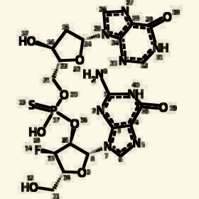 Nc1nc2c(ncn2[C@@H]2O[C@H](CO)[C@@H](F)[C@H]2OP(O)(=S)OC[C@H]2O[C@@H](n3cnc4c(=O)[nH]cnc43)C[C@@H]2O)c(=O)[nH]1